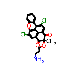 CC1(OCCCN)C(=O)c2cc(Cl)c3c4c(c(Cl)cc(c24)C1=O)-c1ccccc1O3